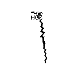 C=CCOP(=O)(O)OCCCCCCCCC=CCCCCCCCC